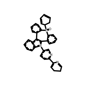 O=P1(C2C=CC=CC2)c2ccccc2-c2c(n(-c3ccc(C4=CCCC=N4)nc3)c3ccccc23)-c2ccccc21